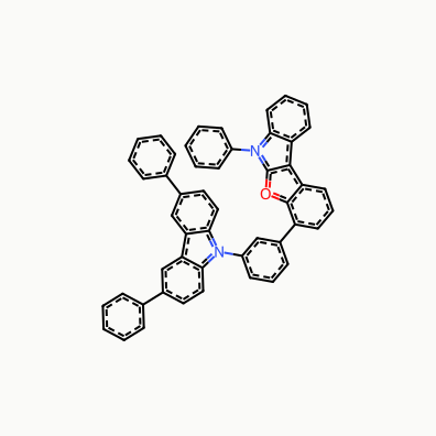 c1ccc(-c2ccc3c(c2)c2cc(-c4ccccc4)ccc2n3-c2cccc(-c3cccc4c3oc3c4c4ccccc4n3-c3ccccc3)c2)cc1